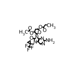 CCC(=O)O[C@H]1C[C@@H](OC(C)=O)[C@H](n2c(=O)n(CC3(C(F)(F)F)CC3)c3cnc(N)nc32)O1